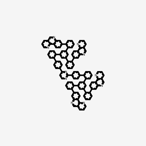 c1ccc(-c2cc(-c3ccccc3-c3ccc4c(c3)ncc3cccnc34)cc(-c3ccccc3-c3ccc4c(c3)ncc3cccnc34)c2)c(-c2ccc(-c3ccnc(-c4ccc(-c5ccccc5-c5cc(-c6ccccc6-c6ccc7c(c6)ncc6cccnc67)cc(-c6ccccc6-c6ccc7c(c6)ncc6cccnc67)c5)cc4)n3)cc2)c1